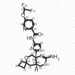 NC1=N[C@@]2(c3nc(NC(=O)c4ccc(OC(F)F)cn4)cs3)COC3(CCC3)C[C@H]2CS1